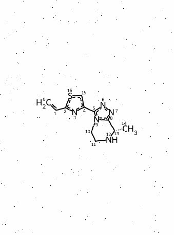 C=Cc1nc(-c2nnc3n2CCN[C@H]3C)cs1